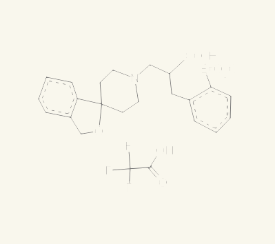 CCOC(=O)c1ccccc1CC(CN1CCC2(CC1)OCc1ccccc12)C(=O)O.O=C(O)C(F)(F)F